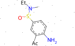 CCN(C)[S+]([O-])c1ccc(N)c(C(C)=O)c1